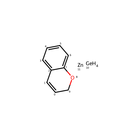 C1=Cc2ccccc2OC1.[GeH4].[Zn]